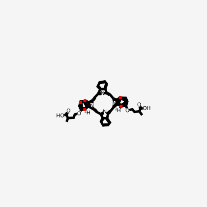 [2H]c1c(OCCC(C)C(=O)O)cccc1-n1c2cc3nc(cc4c5ccccc5c(cc5nc(cc1c1ccccc12)-c1ccccc1-5)n4-c1cccc(OCCC(C)C(=O)O)c1[2H])-c1ccccc1-3